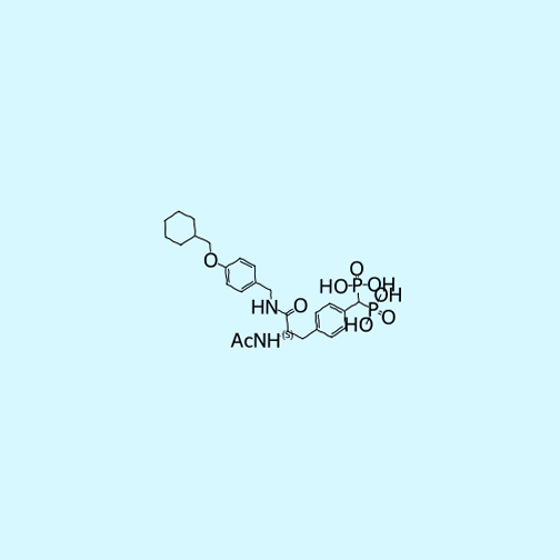 CC(=O)N[C@@H](Cc1ccc(C(P(=O)(O)O)P(=O)(O)O)cc1)C(=O)NCc1ccc(OCC2CCCCC2)cc1